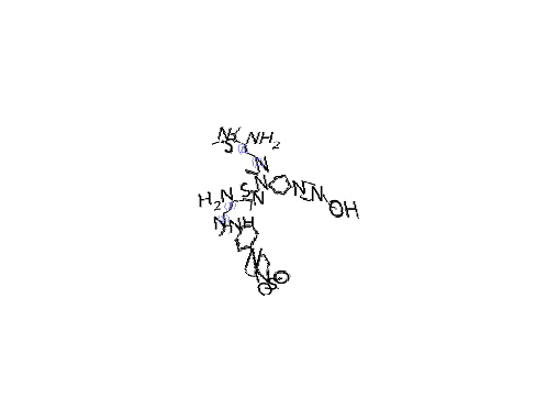 C=C(/N=C\C=C(/N)c1sc(N(C(=C)/N=C\C=C(/N)c2sc(C)nc2C)c2ccc(N3CCN(CCO)CC3)cc2)nc1C)Nc1ccc(N2CCN(S(C)(=O)=O)CC2)cc1